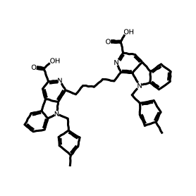 Cc1ccc(Cn2c3ccccc3c3cc(C(=O)O)nc(CCCCCc4nc(C(=O)O)cc5c6ccccc6n(Cc6ccc(C)cc6)c45)c32)cc1